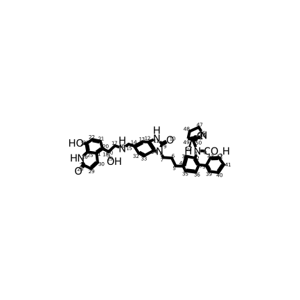 O=C(O)N(c1cc(CCCn2c(=O)[nH]c3cc(CNC[C@H](O)c4ccc(O)c5[nH]c(=O)ccc45)ccc32)ccc1-c1ccccc1)[C@H]1CN2CCC1CC2